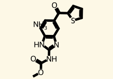 COC(=O)Nc1nc2cc(C(=O)c3cccs3)ccc2[nH]1.N